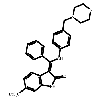 CCOC(=O)c1ccc2c(c1)NC(=O)/C2=C(\Nc1ccc(CN2CCSCC2)cc1)c1ccccc1